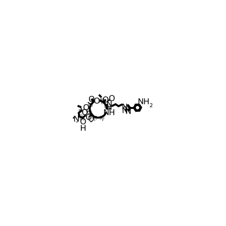 CC[C@@H]1C[C@H](N(C)C)[C@@H](O)C(O[C@H]2[C@H](C)C(=O)[C@@H](C)C(=O)O[C@H](CC)[C@@]3(C)OC(=O)N(CCCCn4cc(-c5cccc(N)c5)nn4)[C@@H]3[C@@H](C)NC[C@H](C)C[C@@]2(C)OC)O1